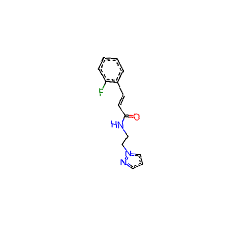 O=C(C=Cc1ccccc1F)NCCn1cccn1